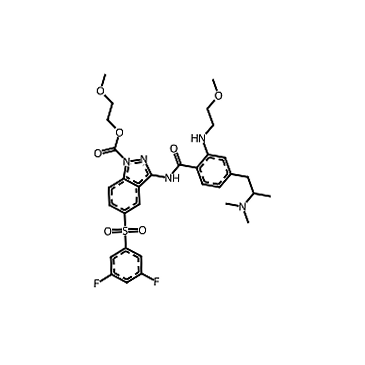 COCCNc1cc(CC(C)N(C)C)ccc1C(=O)Nc1nn(C(=O)OCCOC)c2ccc(S(=O)(=O)c3cc(F)cc(F)c3)cc12